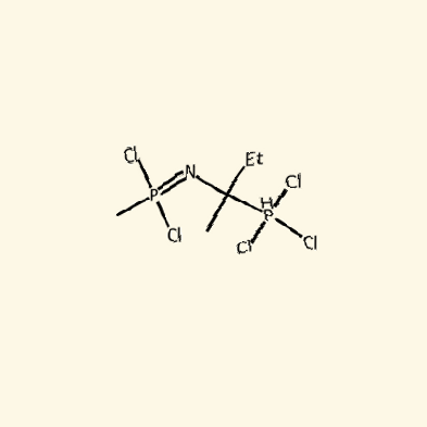 CCC(C)(N=P(C)(Cl)Cl)[PH](Cl)(Cl)Cl